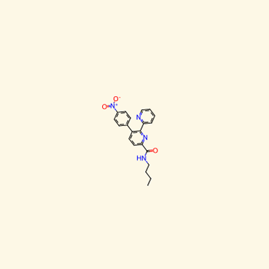 CCCCNC(=O)c1ccc(-c2ccc([N+](=O)[O-])cc2)c(-c2ccccn2)n1